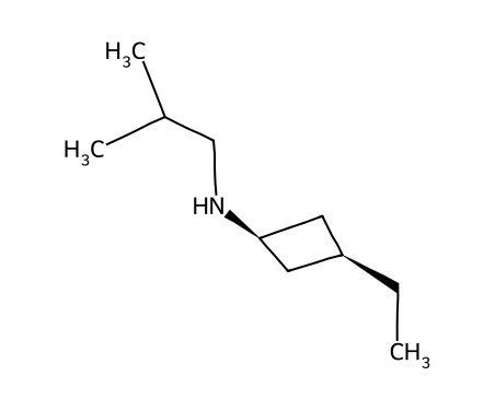 CC[C@H]1C[C@@H](NCC(C)C)C1